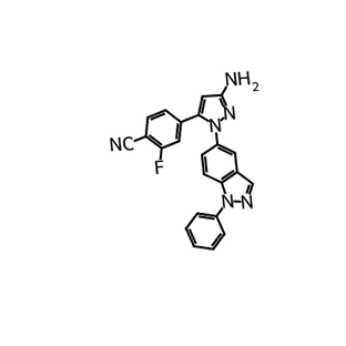 N#Cc1ccc(-c2cc(N)nn2-c2ccc3c(cnn3-c3ccccc3)c2)cc1F